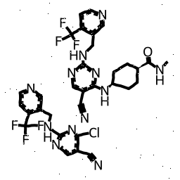 CNC(=O)[C@H]1CC[C@@H](Nc2nc(NCc3cnccc3C(F)(F)F)ncc2C#N)CC1.N#Cc1cnc(NCc2cnccc2C(F)(F)F)nc1Cl